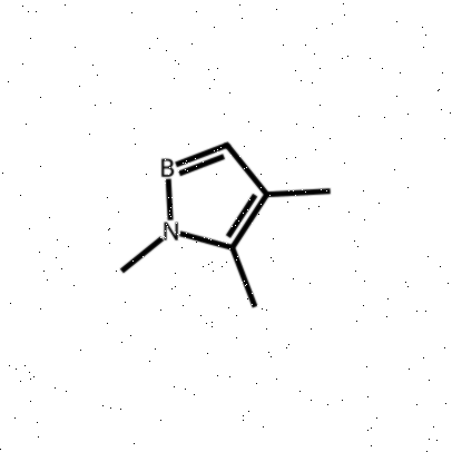 Cc1cbn(C)c1C